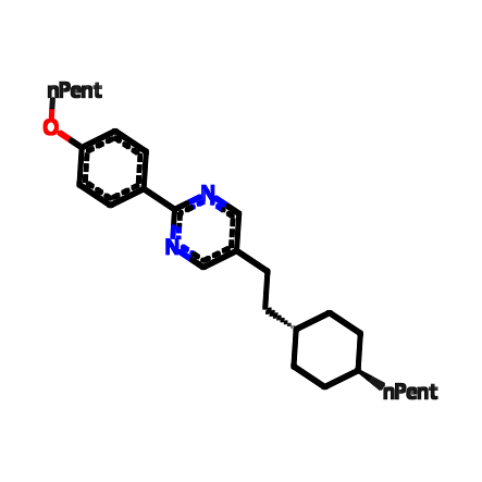 CCCCCOc1ccc(-c2ncc(CC[C@H]3CC[C@H](CCCCC)CC3)cn2)cc1